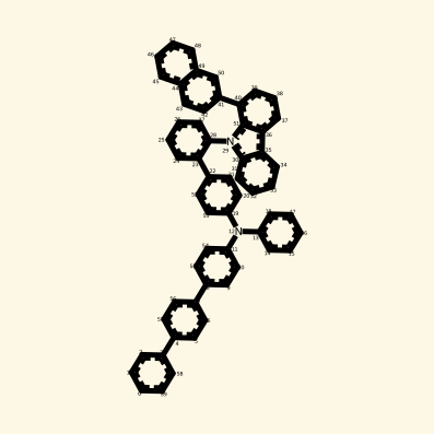 c1ccc(-c2ccc(-c3ccc(N(c4ccccc4)c4ccc(-c5ccccc5-n5c6ccccc6c6cccc(-c7ccc8ccccc8c7)c65)cc4)cc3)cc2)cc1